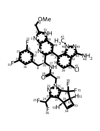 COCc1nc2nc([C@H](Cc3cc(F)cc(F)c3)NC(=O)Cn3nc(C(F)F)c4c3C(F)(F)[C@@H]3C=C[C@H]43)c(-c3ccc(Cl)c4c(N)nn(C)c34)cc2[nH]1